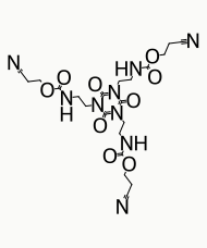 N#CCCOC(=O)NCCn1c(=O)n(CCNC(=O)OCCC#N)c(=O)n(CCNC(=O)OCCC#N)c1=O